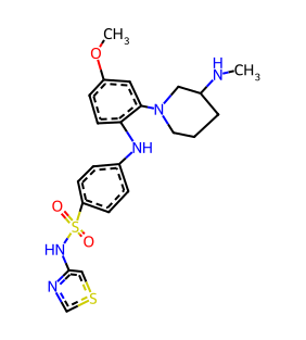 CNC1CCCN(c2cc(OC)ccc2Nc2ccc(S(=O)(=O)Nc3cscn3)cc2)C1